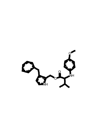 COc1ccc(NC(C(=O)OCc2[nH]ccc2Cc2ccccc2)C(C)C)cc1